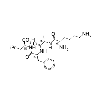 CC(C)C[C@H](NC(=O)[C@H](Cc1ccccc1)NC(=O)[C@H](C)NC(=O)[C@@H](N)CCCCN)C(=O)O